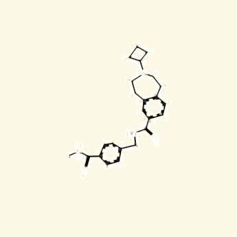 CNC(=O)c1ccc(CNC(=O)c2ccc3c(c2)CCN(C2CCC2)CC3)cc1